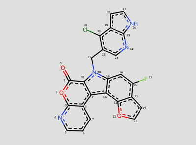 O=c1oc2ncccc2c2c3c4occc4c(F)cc3n(Cc3cnc4[nH]ccc4c3Cl)c12